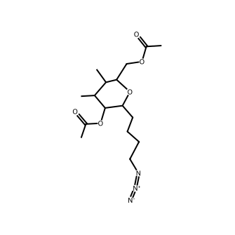 CC(=O)OCC1OC(CCCCN=[N+]=[N-])C(OC(C)=O)C(C)C1C